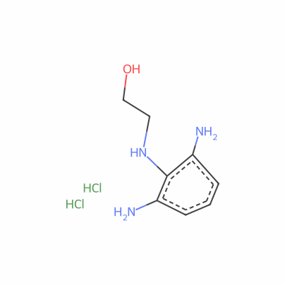 Cl.Cl.Nc1cccc(N)c1NCCO